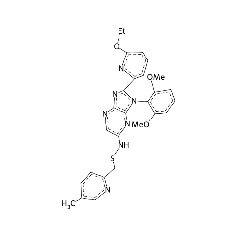 CCOc1cccc(-c2nc3ncc(NSCc4ccc(C)cn4)nc3n2-c2c(OC)cccc2OC)n1